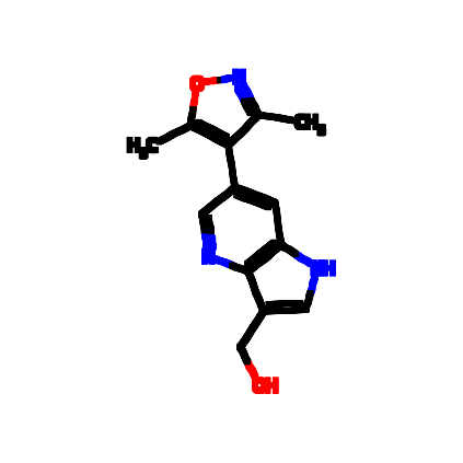 Cc1noc(C)c1-c1cnc2c(CO)c[nH]c2c1